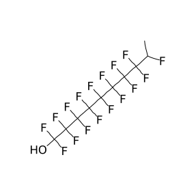 CC(F)C(F)(F)C(F)(F)C(F)(F)C(F)(F)C(F)(F)C(F)(F)C(F)(F)C(O)(F)F